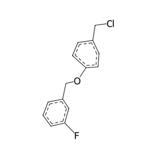 Fc1cccc(COc2ccc(CCl)cc2)c1